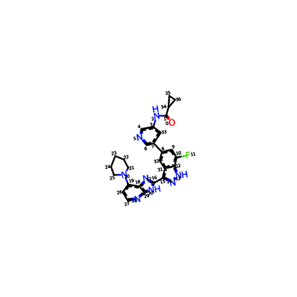 O=C(Nc1cncc(-c2cc(F)c3[nH]nc(-c4nc5c(N6CCCCC6)ccnc5[nH]4)c3c2)c1)C1CC1